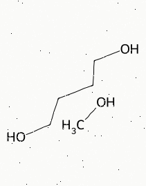 CO.OCCCCO